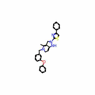 CC1=C2CN(c3nc(-c4ccccc4)cs3)NC2=CCN1Cc1cccc(Oc2ccccc2)c1